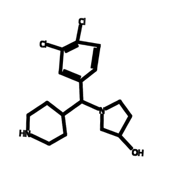 OC1CCN(C(c2ccc(Cl)c(Cl)c2)C2CCNCC2)C1